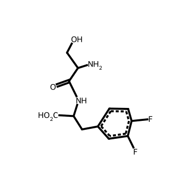 NC(CO)C(=O)NC(Cc1ccc(F)c(F)c1)C(=O)O